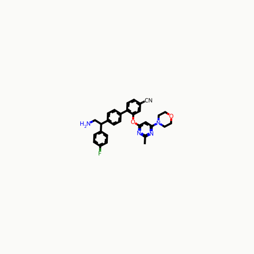 Cc1nc(Oc2cc(C#N)ccc2-c2ccc(C(CN)c3ccc(F)cc3)cc2)cc(N2CCOCC2)n1